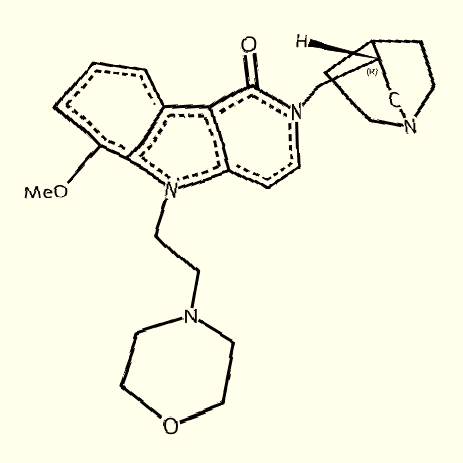 COc1cccc2c3c(=O)n([C@H]4CN5CCC4CC5)ccc3n(CCN3CCOCC3)c12